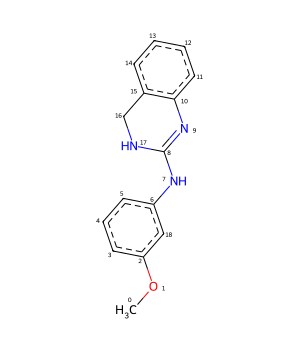 COc1cccc(NC2=Nc3ccccc3CN2)c1